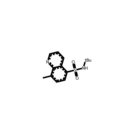 Cc1ccc(S(=O)(=O)NC(C)(C)C)c2cccnc12